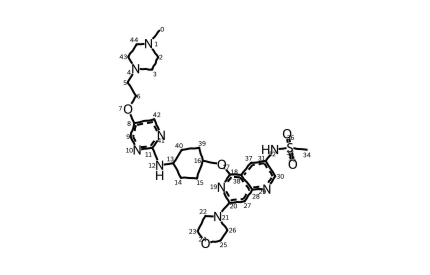 CN1CCN(CCOc2cnc(NC3CCC(Oc4nc(N5CCOCC5)cc5ncc(NS(C)(=O)=O)cc45)CC3)nc2)CC1